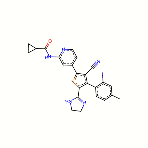 Cc1ccc(-c2c(C3=NCCN3)sc(-c3ccnc(NC(=O)C4CC4)c3)c2C#N)c(I)c1